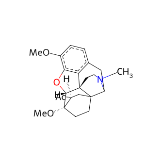 COc1ccc2c3c1O[C@H]1[C@]4(OC)CCC5(C[C@@H]4C(C)=O)C(C2)N(C)CC[C@]315